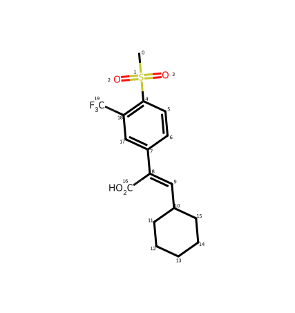 CS(=O)(=O)c1ccc(C(=CC2CCCCC2)C(=O)O)cc1C(F)(F)F